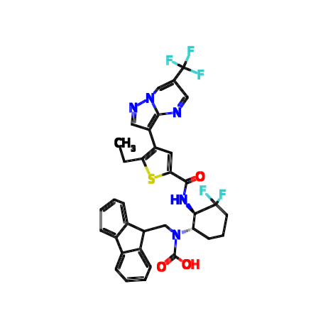 CCc1sc(C(=O)N[C@@H]2[C@@H](N(CC3c4ccccc4-c4ccccc43)C(=O)O)CCCC2(F)F)cc1-c1cnn2cc(C(F)(F)F)cnc12